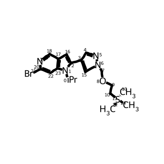 CC(C)n1c(-c2cnn(COCCS(C)(C)C)c2)cc2cnc(Br)cc21